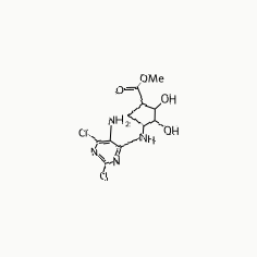 COC(=O)C1CC(Nc2nc(Cl)nc(Cl)c2N)C(O)C1O